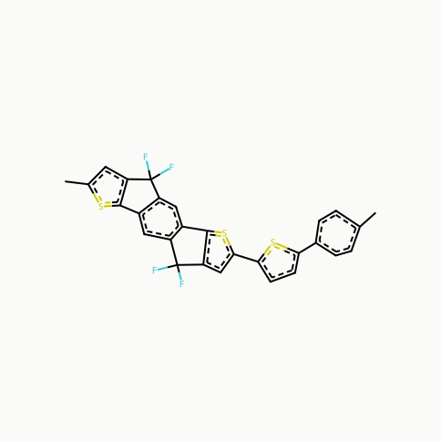 Cc1ccc(-c2ccc(-c3cc4c(s3)-c3cc5c(cc3C4(F)F)-c3sc(C)cc3C5(F)F)s2)cc1